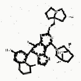 CC1CCCc2cc(O)cc(-c3c(F)c4nc(OC[C@@]56CCCN5C[C@H](F)C6)nc(N5C[C@H]6CC[C@@H](C5)N6)c4c4nccn34)c21